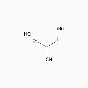 CCCCCC(C#N)CC.Cl